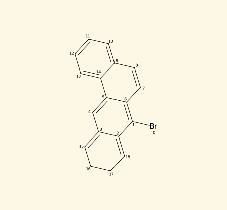 Brc1c2c(cc3c1ccc1ccccc13)=CCCC=2